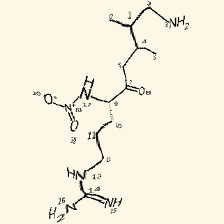 CC(CN)C(C)CC(=O)[C@H](CCCNC(=N)N)N[N+](=O)[O-]